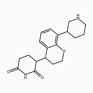 O=C1CCC(N2CCOc3c(C4CCCNC4)cccc32)C(=O)N1